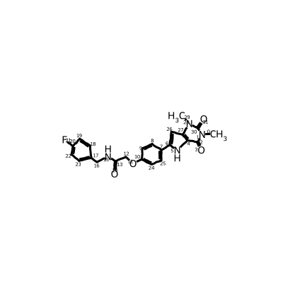 Cn1c(=O)c2[nH]c(-c3ccc(OCC(=O)NCc4ccc(F)cc4)cc3)cc2n(C)c1=O